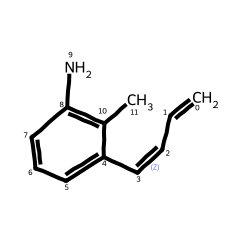 C=C/C=C\c1cccc(N)c1C